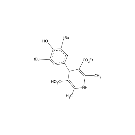 CCOC(=O)C1=C(C)NC(C)=C(C(=O)O)C1c1cc(C(C)(C)C)c(O)c(C(C)(C)C)c1